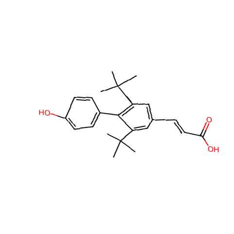 CC(C)(C)c1cc(C=CC(=O)O)cc(C(C)(C)C)c1-c1ccc(O)cc1